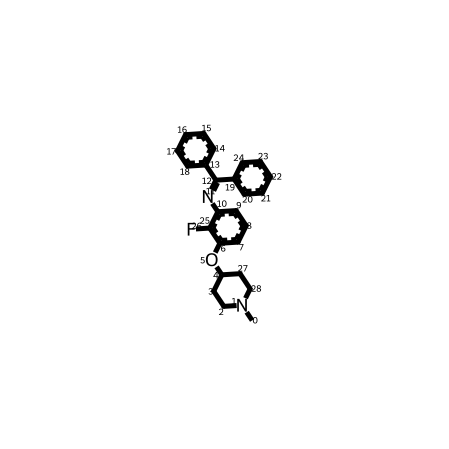 CN1CCC(Oc2cccc(N=C(c3ccccc3)c3ccccc3)c2F)CC1